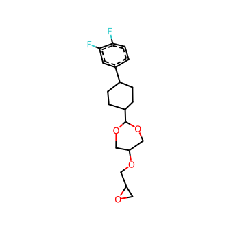 Fc1ccc(C2CCC(C3OCC(OCC4CO4)CO3)CC2)cc1F